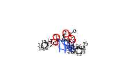 CC(=O)OC([C@H](C)NC(=O)OCc1ccccc1)n1ncc2ccc(C)cc21